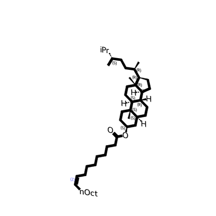 CCCCCCCC/C=C\CCCCCCCC(=O)O[C@H]1CC[C@@]2(C)[C@@H](CC[C@@H]3[C@@H]2CC[C@]2(C)[C@@H]([C@H](C)CC[C@H](C)C(C)C)CC[C@@H]32)C1